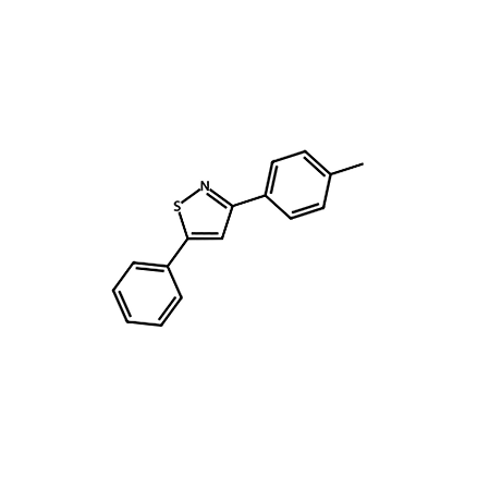 Cc1ccc(-c2cc(-c3ccccc3)sn2)cc1